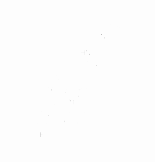 CCN1C[C@H](C(c2cccc(F)c2)c2cccc(F)c2)n2ncc(=O)c(OCOC(=O)NCCN3CCOCC3)c2C1=O